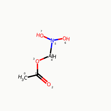 CC(=O)[O][AlH][N](O)O